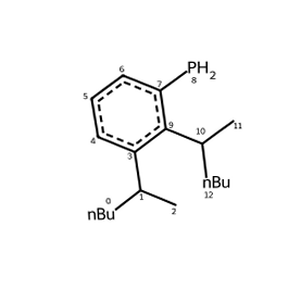 CCCCC(C)c1cccc(P)c1C(C)CCCC